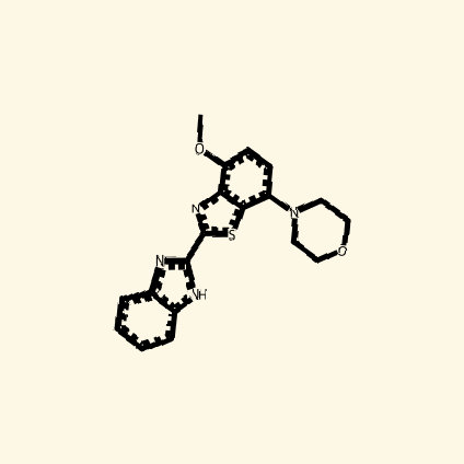 COc1ccc(N2CCOCC2)c2sc(-c3nc4ccccc4[nH]3)nc12